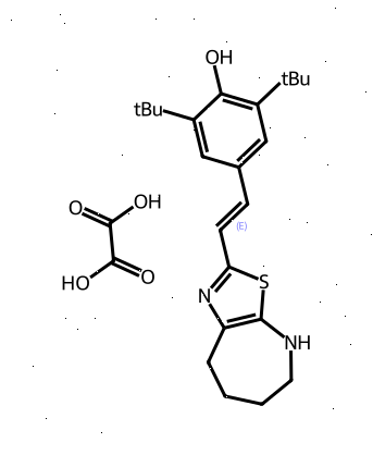 CC(C)(C)c1cc(/C=C/c2nc3c(s2)NCCCC3)cc(C(C)(C)C)c1O.O=C(O)C(=O)O